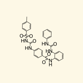 Cc1ccc(S(=O)(=O)NC(=O)Nc2ccc(S(=O)(=O)Nc3ccccc3NC(=O)Nc3ccccc3)cc2)cc1